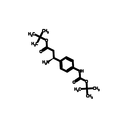 CC(C)(C)OC(=O)C[C@@H](N)c1ccc(NC(=O)OC(C)(C)C)cc1